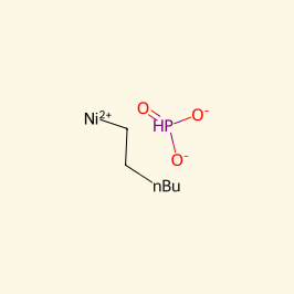 CCCCC[CH2][Ni+2].O=[PH]([O-])[O-]